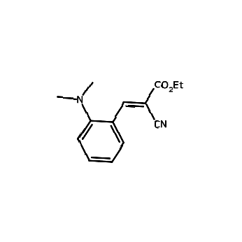 CCOC(=O)/C(C#N)=C/c1ccccc1N(C)C